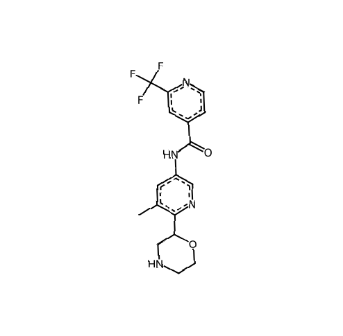 Cc1cc(NC(=O)c2ccnc(C(F)(F)F)c2)cnc1C1CNCCO1